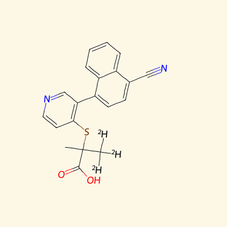 [2H]C([2H])([2H])C(C)(Sc1ccncc1-c1ccc(C#N)c2ccccc12)C(=O)O